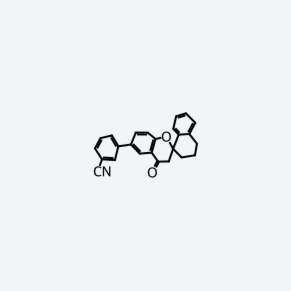 N#Cc1cccc(-c2ccc3c(c2)C(=O)CC2(CCCc4ccccc42)O3)c1